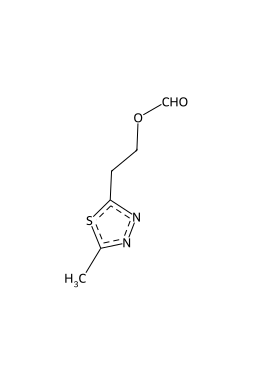 Cc1nnc(CCOC=O)s1